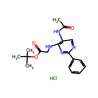 CC(=O)Nc1cnc(-c2ccccc2)nc1NCC(=O)OC(C)(C)C.Cl